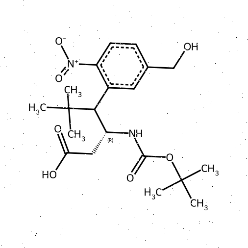 CC(C)(C)OC(=O)N[C@H](CC(=O)O)C(c1cc(CO)ccc1[N+](=O)[O-])C(C)(C)C